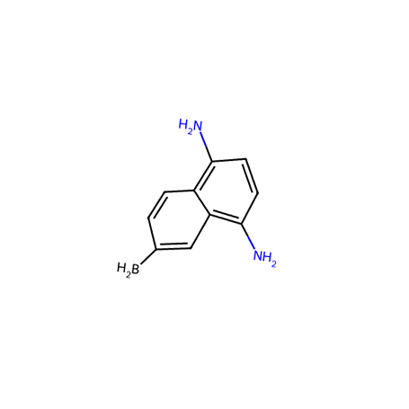 Bc1ccc2c(N)ccc(N)c2c1